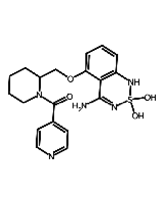 NC1=NS(O)(O)Nc2cccc(OCC3CCCCN3C(=O)c3ccncc3)c21